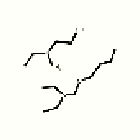 CCCCOCN(CC)CC.CCN(N)CCO